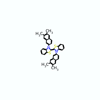 Cc1cc2ccc(N3/C(=C4\Sc5ccccc5N4c4ccc5cc(C)c(C)cc5c4)Sc4ccccc43)cc2cc1C